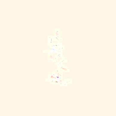 CC1Oc2cc(C(=O)COC(=O)[C@@]34B(C=O)N3C3CCC4CC3)ccc2-c2cc3cc(Br)ccc3n21